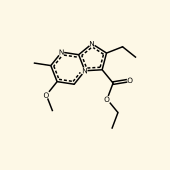 CCOC(=O)c1c(CC)nc2nc(C)c(OC)cn12